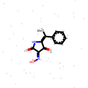 CO/C(=C1\NC(=O)/C(=N\O)C1=O)c1ccccc1